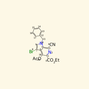 CCOC(=O)c1nc(C#N)c2c(c(Br)cn2Cc2ccccc2)c1OC(C)=O